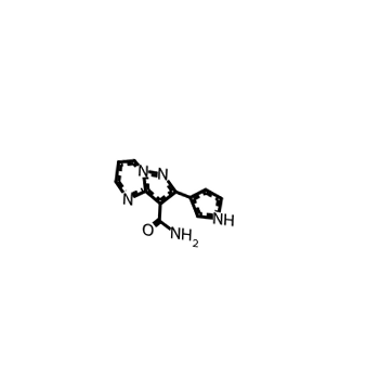 NC(=O)c1c(-c2cc[nH]c2)nn2cccnc12